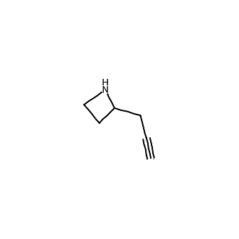 [C]#CCC1CCN1